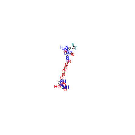 N=C(NC(=O)c1ccc(N2CCN(C(=O)CCOCCOCCOCCOCCOCCNc3cccc4c3C(=O)N(C3CCC(=O)NC3=O)C4O)CC2)cc1NC1CCOCC1)c1cc(Cc2cc(F)cc(F)c2)ccc1N